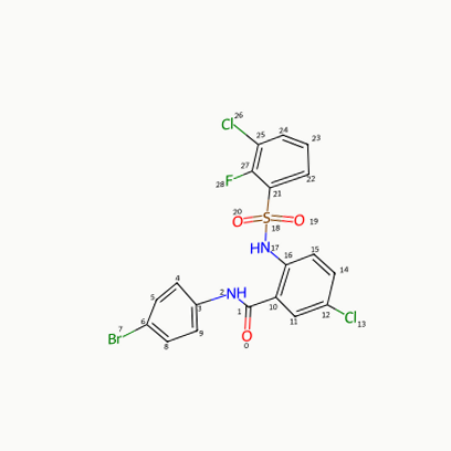 O=C(Nc1ccc(Br)cc1)c1cc(Cl)ccc1NS(=O)(=O)c1cccc(Cl)c1F